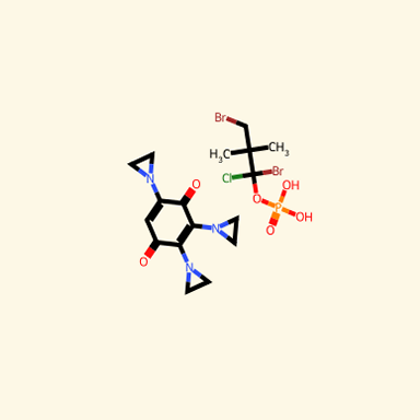 CC(C)(CBr)C(Cl)(Br)OP(=O)(O)O.O=C1C=C(N2CC2)C(=O)C(N2CC2)=C1N1CC1